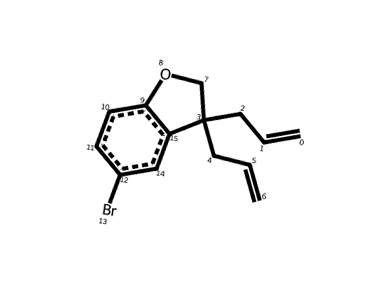 C=CCC1(CC=C)COc2ccc(Br)cc21